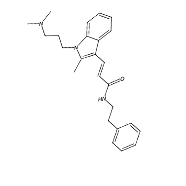 Cc1c(/C=C/C(=O)NCCc2ccccc2)c2ccccc2n1CCCN(C)C